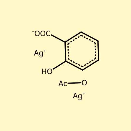 CC(=O)[O-].O=C([O-])c1ccccc1O.[Ag+].[Ag+]